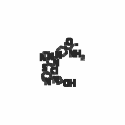 C[C@@H]1OCC2(CCN(c3ncc(Sc4ccnc(N5CC(O)C5)c4Cl)c4nccn34)CC2)[C@@H]1N